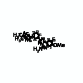 COc1cc2nc(N)n3nc([C@@H]4CCCN(c5cnn(C(C)(C)C(C)=O)c5)C4)nc3c2cc1F